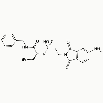 CC(C)C[C@H](NC(CCN1C(=O)c2ccc(N)cc2C1=O)C(=O)O)C(=O)NCc1ccccc1